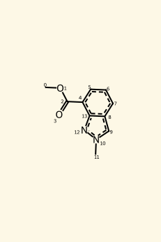 COC(=O)c1cccc2cn(C)nc12